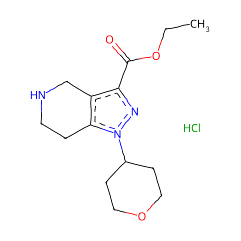 CCOC(=O)c1nn(C2CCOCC2)c2c1CNCC2.Cl